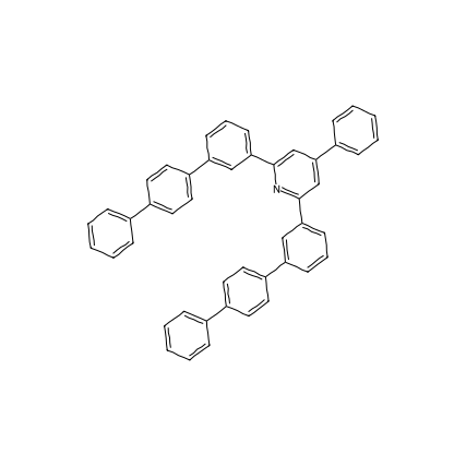 c1ccc(-c2ccc(-c3cccc(-c4cc(-c5ccccc5)cc(-c5cccc(-c6ccc(-c7ccccc7)cc6)c5)n4)c3)cc2)cc1